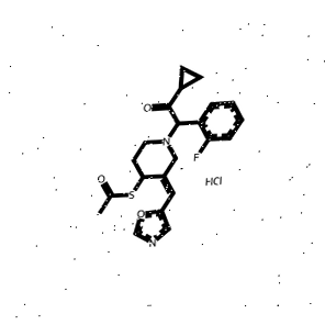 CC(=O)SC1CCN(C(C(=O)C2CC2)c2ccccc2F)CC1=Cc1cnco1.Cl